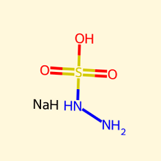 NNS(=O)(=O)O.[NaH]